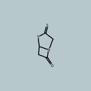 O=C1CC2SC(=S)CN12